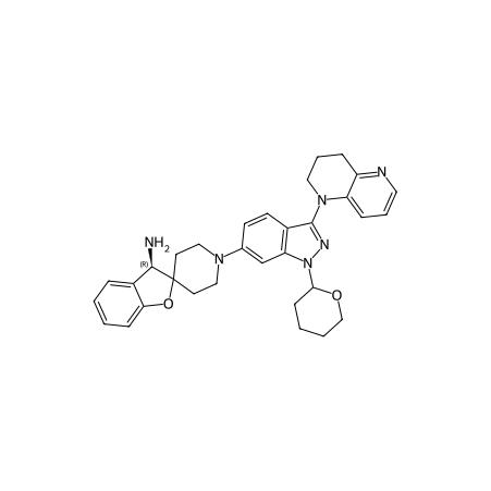 N[C@@H]1c2ccccc2OC12CCN(c1ccc3c(N4CCCc5ncccc54)nn(C4CCCCO4)c3c1)CC2